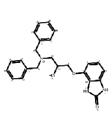 O=c1[nH]c2cccc(OCC(O)CN(Cc3ccccc3)Cc3ccccc3)c2[nH]1